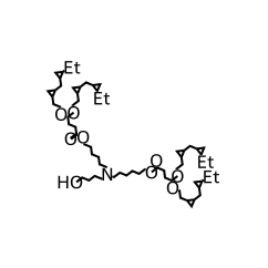 CCC1CC1CC1CC1CCOC(CCC(=O)OCCCCCCN(CCCCO)CCCCCCOC(=O)CCC(OCCC1CC1CC1CC1CC)OCCC1CC1CC1CC1CC)OCCC1CC1CC1CC1CC